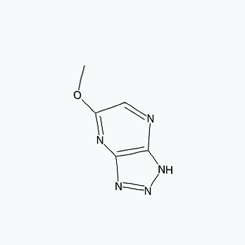 COc1cnc2[nH]nnc2n1